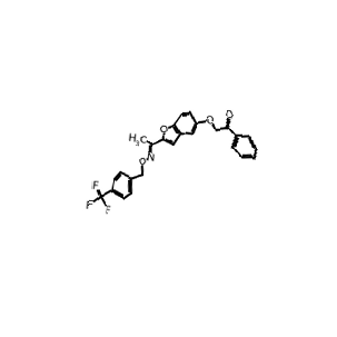 CC(=NOCc1ccc(C(F)(F)F)cc1)c1cc2cc(OCC(=O)c3ccccc3)ccc2o1